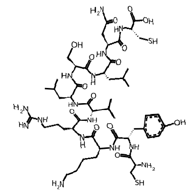 CC(C)C[C@H](NC(=O)[C@H](CO)NC(=O)[C@H](CC(C)C)NC(=O)[C@@H](NC(=O)[C@H](CCCNC(=N)N)NC(=O)[C@H](CCCCN)NC(=O)[C@H](Cc1ccc(O)cc1)NC(=O)[C@@H](N)CS)C(C)C)C(=O)N[C@@H](CC(N)=O)C(=O)N[C@@H](CS)C(=O)O